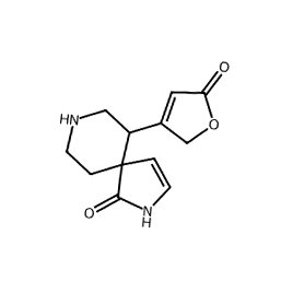 O=C1C=C(C2CNCCC23C=CNC3=O)CO1